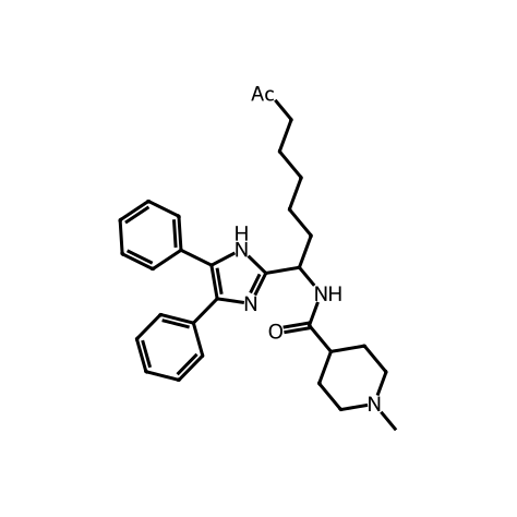 CC(=O)CCCCCC(NC(=O)C1CCN(C)CC1)c1nc(-c2ccccc2)c(-c2ccccc2)[nH]1